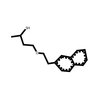 CC(S)CCOCCc1ccc2ccccc2c1